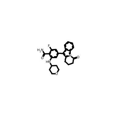 NC(=O)c1c(F)cc(-c2c3n(c4ccccc24)C(=O)CCC3)cc1NC1CCOCC1